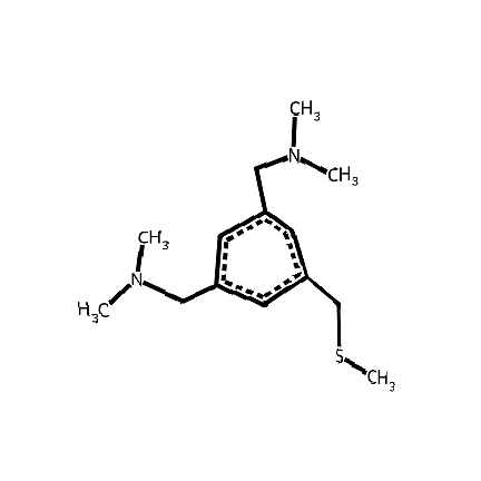 CSCc1cc(CN(C)C)cc(CN(C)C)c1